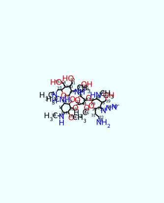 CNCC1OC(OC2C(NC)CC(NC)C(OC)C2OC2OC(CCO)C(OC3OC(CCN)C(N=[N+]=[N-])C(CO)C3NC)C2OC)C(NC)C(CO)C1CO